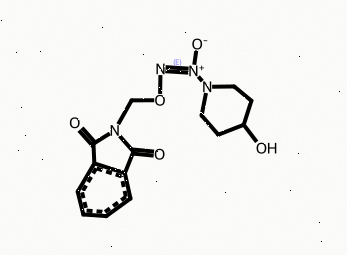 O=C1c2ccccc2C(=O)N1CO/N=[N+](/[O-])N1CCC(O)CC1